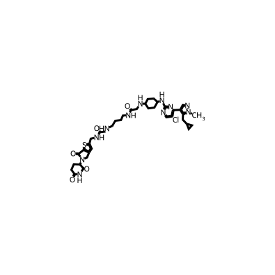 Cn1ncc(-c2nc(NC3CCC(NCC(=O)NCCCCNCC(=O)NCc4cc5c(s4)C(=O)N(C4CCC(=O)NC4=O)C5)CC3)ncc2Cl)c1CC1CC1